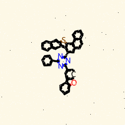 c1ccc(-c2nc(-c3ccc4oc5ccccc5c4c3)nc(-c3cc4ccc5ccccc5c4c4sc5cc6ccccc6cc5c34)n2)cc1